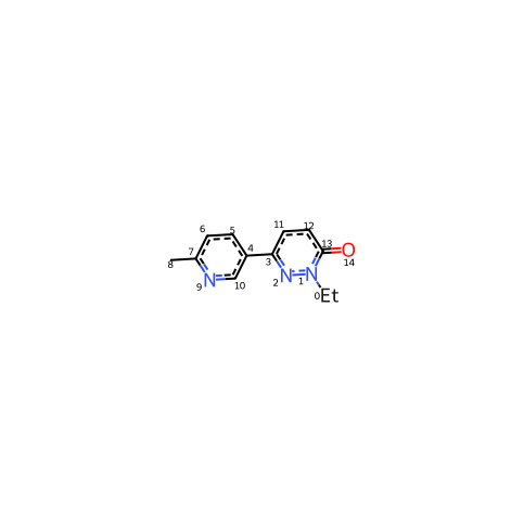 CCn1nc(-c2ccc(C)nc2)ccc1=O